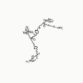 C=CCN(CCNC(=N)N)C(=O)CCSCc1ccc(CSCCCN(CCNC(=N)N)C(=O)CCSCc2ccc(CSCCCN(CCNC(=N)N)C(=O)CCSCCCSCCCN)cc2)cc1